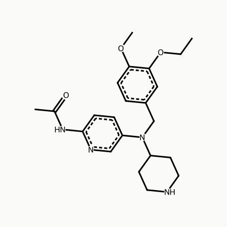 CCOc1cc(CN(c2ccc(NC(C)=O)nc2)C2CCNCC2)ccc1OC